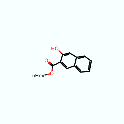 CCCCCCOC(=O)c1cc2ccccc2cc1O